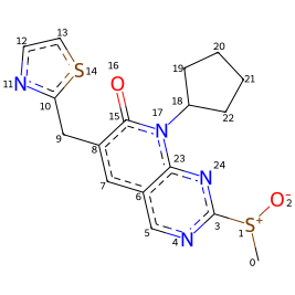 C[S+]([O-])c1ncc2cc(Cc3nccs3)c(=O)n(C3CCCC3)c2n1